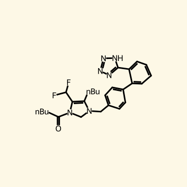 CCCCC(=O)N1CN(Cc2ccc(-c3ccccc3-c3nnn[nH]3)cc2)C(CCCC)=C1C(F)F